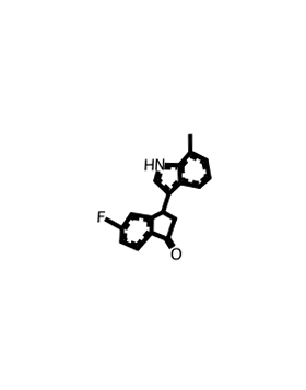 Cc1cccc2c(C3CC(=O)c4ccc(F)cc43)c[nH]c12